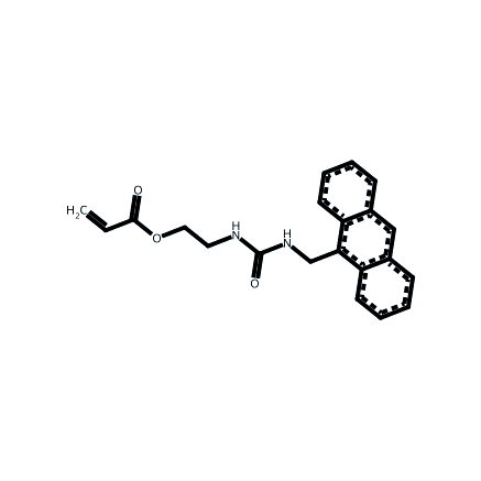 C=CC(=O)OCCNC(=O)NCc1c2ccccc2cc2ccccc12